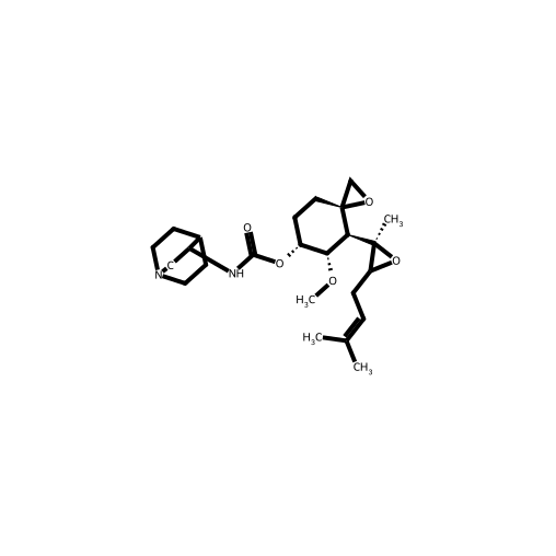 CO[C@@H]1[C@H](OC(=O)NC2CN3CCC2CC3)CC[C@]2(CO2)[C@H]1[C@@]1(C)OC1CC=C(C)C